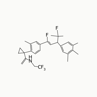 C=C(NCC(F)(F)F)C1(c2ccc(/C(F)=C/C(c3cc(C)c(C)c(C)c3)C(C)(C)F)cc2C)CC1